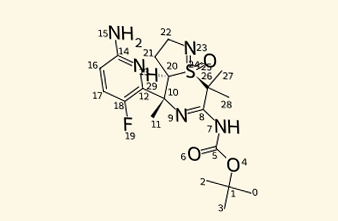 CC(C)(C)OC(=O)NC1=N[C@](C)(c2nc(N)ccc2F)[C@H]2CCN=[S@@]2(=O)C1(C)C